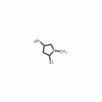 CCCC1CC(CC)N(C)C1